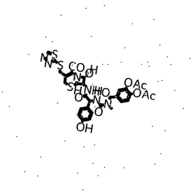 CC(=O)Oc1ccc(C(=O)N(C)C(=O)NC(C(=O)NC2C(=O)N3C(C(=O)O)=C(CSc4nncs4)CS[C@@H]23)c2ccc(O)cc2)cc1OC(C)=O